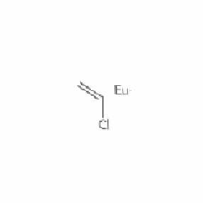 C=CCl.[Eu]